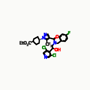 CCOC(=O)[C@H]1CC[C@H](n2ncc(C(=O)N(Cc3ccc(F)cc3)CC(O)c3c(Cl)cncc3Cl)c2C(F)(F)F)CC1